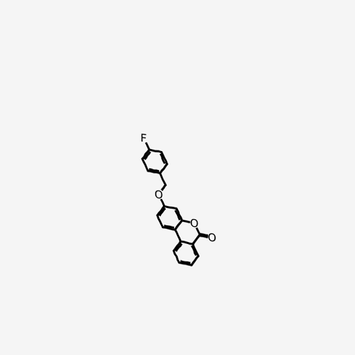 O=c1oc2cc(OCc3ccc(F)cc3)ccc2c2ccccc12